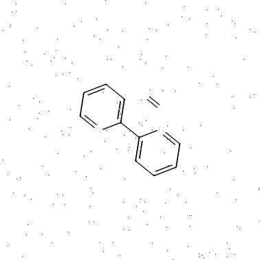 O=P.c1ccc(-c2ccccn2)nc1